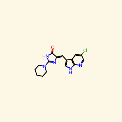 O=C1NC(N2CCCCC2)=NC1=Cc1c[nH]c2ncc(Cl)cc12